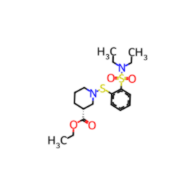 CCOC(=O)[C@@H]1CCCN(Sc2ccccc2S(=O)(=O)N(CC)CC)C1